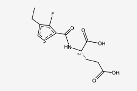 CCc1csc(C(=O)N[C@@H](CCC(=O)O)C(=O)O)c1F